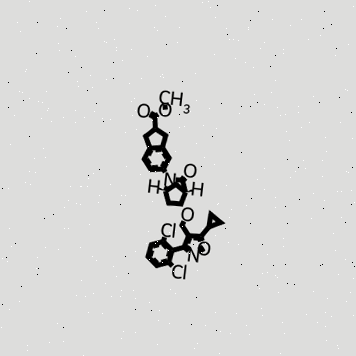 COC(=O)C1Cc2ccc(N3C(=O)[C@@H]4C[C@H]3C[C@H]4OCc3c(-c4c(Cl)cccc4Cl)noc3C3CC3)cc2C1